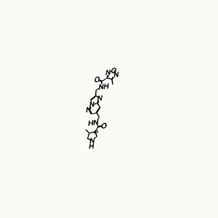 Cc1nonc1C(=O)NCc1cn2ncc(CNC(=O)[C@H]3CNCC3C)cc2n1